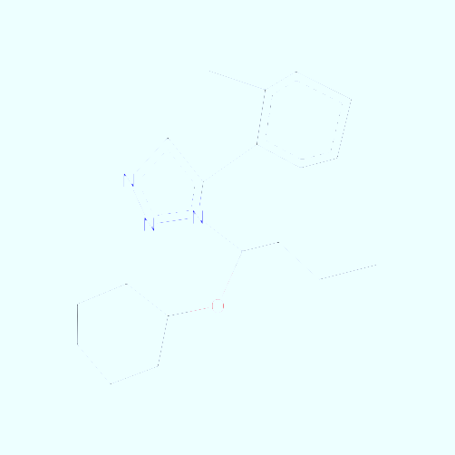 CCCC(OC1CCCCC1)n1nncc1-c1ccccc1C